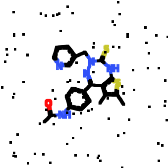 CC(=O)Nc1ccc(C2=NN(Cc3cccnc3)C(=S)Nc3sc(C)c(C)c32)cc1